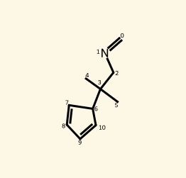 C=NCC(C)(C)C1C=CC=C1